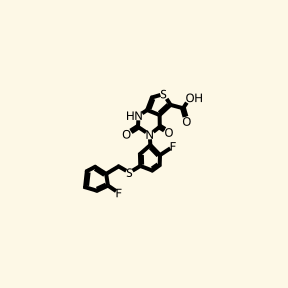 O=C(O)c1scc2[nH]c(=O)n(-c3cc(SCc4ccccc4F)ccc3F)c(=O)c12